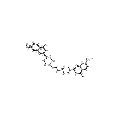 COc1ccc2c(C)cc(=[N+]3CCC(CCCC4CC[N+](=c5cc(C)c6ccc(OC)cc6o5)CC4)CC3)oc2c1